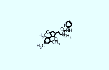 Cc1cc(C)c(C2C(=O)CC(CCN(C)C(=O)Nc3ccccn3)C2=O)c(C)c1